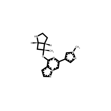 Cn1cc(-c2cn3nccc3c(O[C@]3(C)C[C@@H]4NCC[C@@H]43)n2)cn1